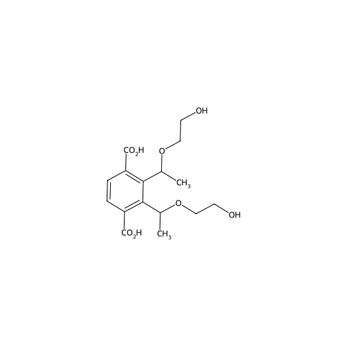 CC(OCCO)c1c(C(=O)O)ccc(C(=O)O)c1C(C)OCCO